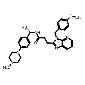 C[C@H](NC(=O)CCc1nc2cccnc2n1Cc1ccc(OC(F)(F)F)cc1)c1ccc(N2CCN(C)CC2)cc1